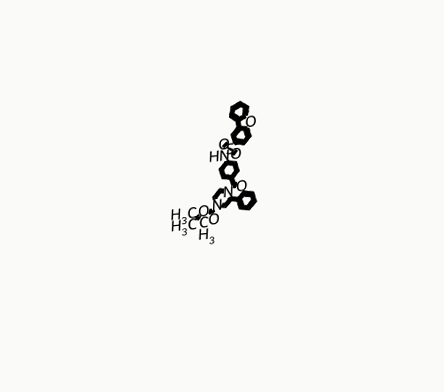 CC(C)(C)OC(=O)N1CCN(C(=O)C2CCC(NS(=O)(=O)c3ccc4oc5ccccc5c4c3)CC2)C(c2ccccc2)C1